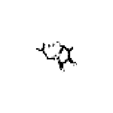 CC1=C(O)N(CC(C)C)C(=S)C1=O